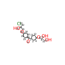 O=C(c1ccc(OC[C@@H](O)CO)cc1)c1ccc(OC[C@@H](O)CCl)cc1